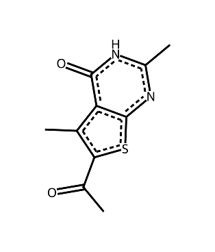 CC(=O)c1sc2nc(C)[nH]c(=O)c2c1C